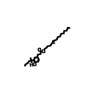 CCCCCCCCCCCCCCCCOC(=O)CCc1ccc(O)c(C(C)(C)CCCC)c1